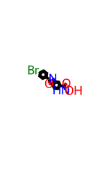 O=C(NO)c1ccc2oc(-c3ccc(Br)cc3)nc2c1